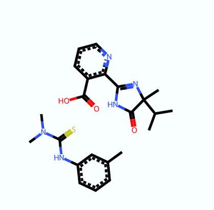 CC(C)C1(C)N=C(c2ncccc2C(=O)O)NC1=O.Cc1cccc(NC(=S)N(C)C)c1